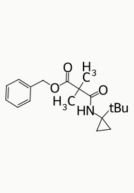 CC(C)(C(=O)NC1(C(C)(C)C)CC1)C(=O)OCc1ccccc1